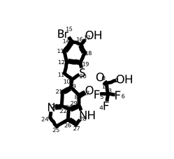 O=C(O)C(F)(F)F.O=C1C(C2Cc3cc(Br)c(O)cc3S2)=CC2=NCCc3c[nH]c1c32